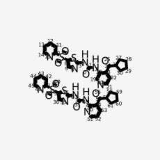 O=C(Nc1ncc(S(=O)(=O)c2ccccn2)s1)Nc1cnccc1C(=O)C1CCCC1.O=C(Nc1ncc(S(=O)(=O)c2ccccn2)s1)Nc1ncccc1C(=O)C1CCCC1